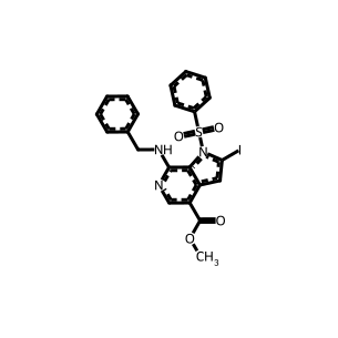 COC(=O)c1cnc(NCc2ccccc2)c2c1cc(I)n2S(=O)(=O)c1ccccc1